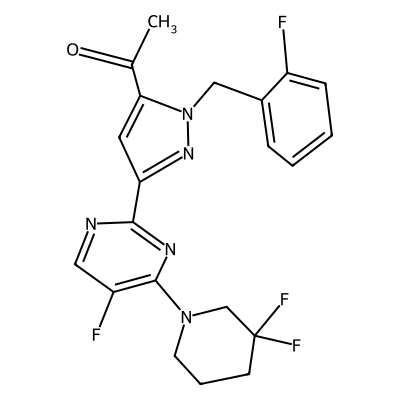 CC(=O)c1cc(-c2ncc(F)c(N3CCCC(F)(F)C3)n2)nn1Cc1ccccc1F